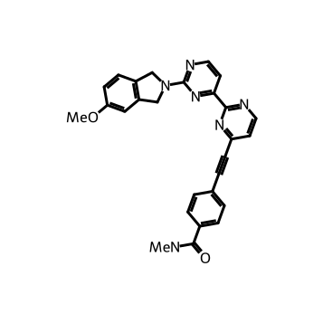 CNC(=O)c1ccc(C#Cc2ccnc(-c3ccnc(N4Cc5ccc(OC)cc5C4)n3)n2)cc1